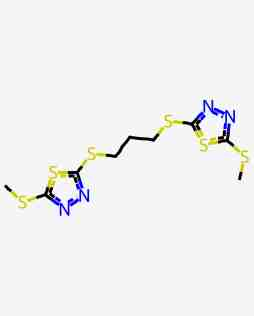 CSc1nnc(SCCCSc2nnc(SC)s2)s1